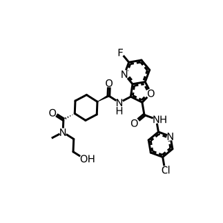 CN(CCO)C(=O)[C@H]1CC[C@H](C(=O)Nc2c(C(=O)Nc3ccc(Cl)cn3)oc3ccc(F)nc23)CC1